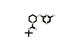 CC(C)(C)OC(=O)N1CCC[C@H](Oc2cncc(Cl)n2)C1